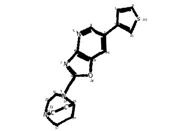 c1cc(-c2cnc3nc(N4CCN5CCC4CC5)oc3c2)cs1